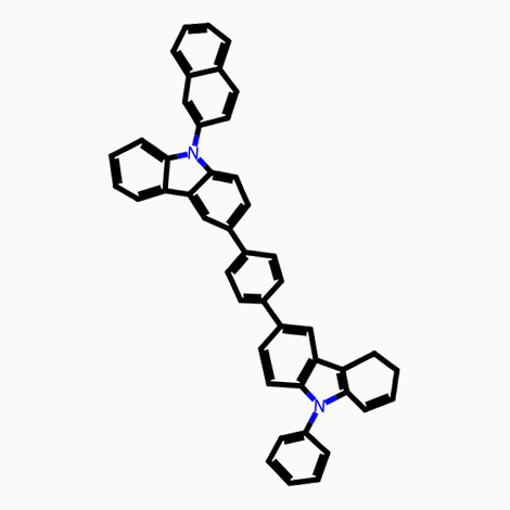 C1=Cc2c(c3cc(-c4ccc(-c5ccc6c(c5)c5ccccc5n6-c5ccc6ccccc6c5)cc4)ccc3n2-c2ccccc2)CC1